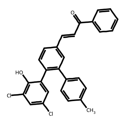 Cc1ccc(-c2cc(C=CC(=O)c3ccccc3)ccc2-c2cc(Cl)cc(Cl)c2O)cc1